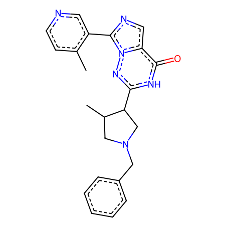 Cc1ccncc1-c1ncc2c(=O)[nH]c(C3CN(Cc4ccccc4)CC3C)nn12